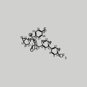 O=C(NCc1cc(-c2ccc(C(F)(F)F)nc2)ncn1)[C@@H]1CC2CC2N1S(=O)(=O)c1ccc(F)cc1